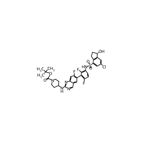 CC(C)(C)OC(=O)N1CCC(Nc2ncc3cc(-c4c(F)ccc(NS(=O)(=O)c5cc(Cl)cc6c5CC[C@H]6O)c4F)c(F)cc3n2)CC1